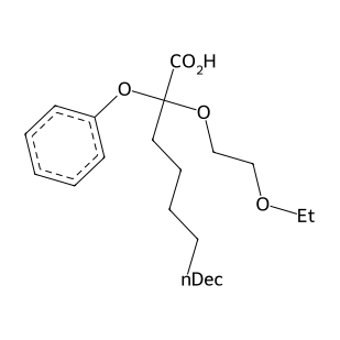 CCCCCCCCCCCCCCC(OCCOCC)(Oc1ccccc1)C(=O)O